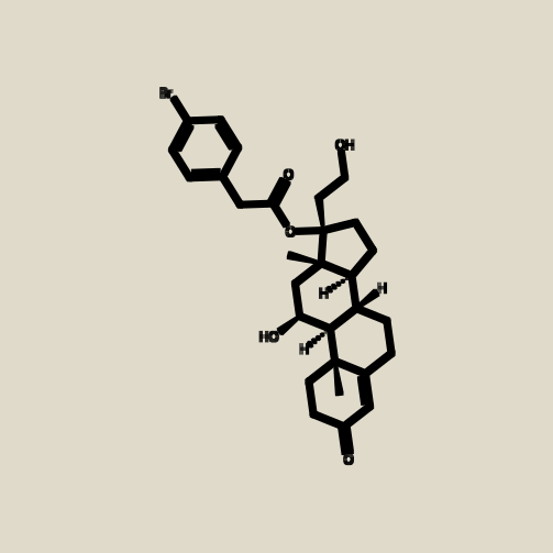 C[C@]12CCC(=O)C=C1CC[C@@H]1[C@@H]2[C@@H](O)C[C@@]2(C)[C@H]1CC[C@@]2(CCO)OC(=O)Cc1ccc(Br)cc1